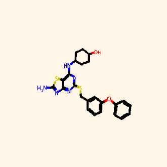 Nc1nc2nc(SCc3cccc(Oc4ccccc4)c3)nc(NC3CCC(O)CC3)c2s1